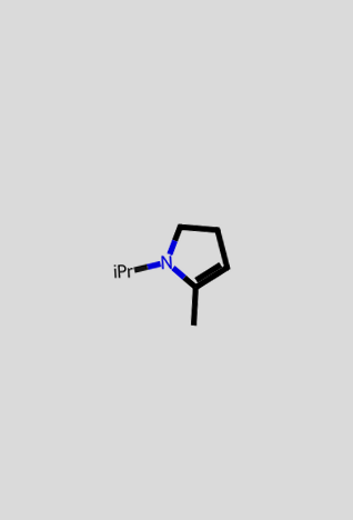 CC1=CCCN1C(C)C